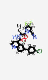 CC(NC(=O)c1ccnc2ccc(-c3ccc(Cl)cc3)cc12)C(=O)N1CC(F)(F)CC1C#N